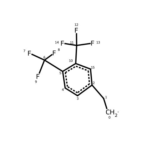 [CH2]Cc1ccc(C(F)(F)F)c(C(F)(F)F)c1